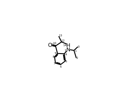 CC(C)Nc1ccccc1C(=O)C(C)C